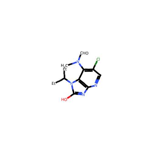 CCC(CC)n1c(O)nc2ncc(Cl)c(N(C)C=O)c21